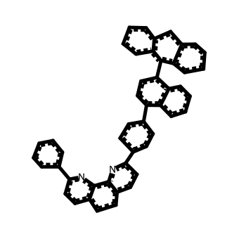 c1ccc(-c2ccc3ccc4ccc(-c5ccc(-c6ccc(-c7c8ccccc8cc8ccccc78)c7ccccc67)cc5)nc4c3n2)cc1